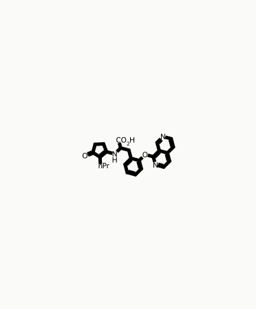 CCCC1=C(NC(Cc2ccccc2Oc2nccc3ccncc23)C(=O)O)CCC1=O